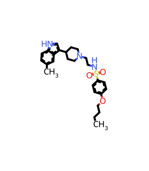 CCCCOc1ccc(S(=O)(=O)NCCN2CCC(c3c[nH]c4ccc(C)cc34)CC2)cc1